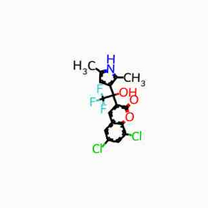 Cc1cc(C(O)(c2cc3cc(Cl)cc(Cl)c3oc2=O)C(F)(F)F)c(C)[nH]1